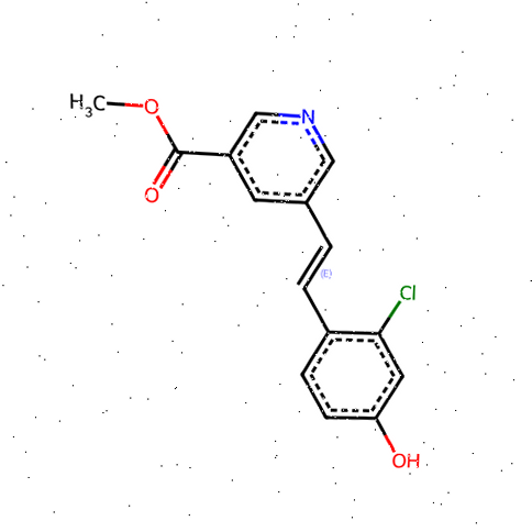 COC(=O)c1cncc(/C=C/c2ccc(O)cc2Cl)c1